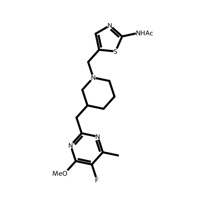 COc1nc(CC2CCCN(Cc3cnc(NC(C)=O)s3)C2)nc(C)c1F